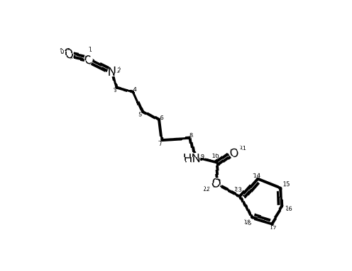 O=C=NCCCCCCNC(=O)Oc1ccccc1